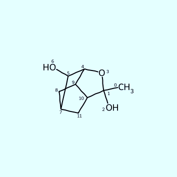 CC1(O)OC2C(O)C3CC2C1C3